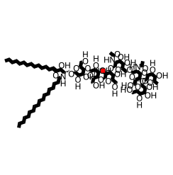 CCCCCCCCCCCCC/C=C/[C@@H](O)[C@H](CO[C@@H]1OC(CO)[C@@H](O[C@@H]2OC(CO)[C@H](O[C@@H]3OC(CO)[C@H](O)[C@H](O[C@@H]4OC(CO[C@@H]5OC(CO)[C@@H](O[C@@H]6OC(CO)[C@H](O)[C@H](O)C6O)[C@H](O[C@H]6C(O)[C@H](O)C(C)O[C@H]6O)C5NC(C)=O)[C@H](O)[C@H](O)C4NC(C)=O)C3O)[C@H](O)C2O)[C@H](O)C1O)NC(=O)CCCCCCCCCCCCCCCCC